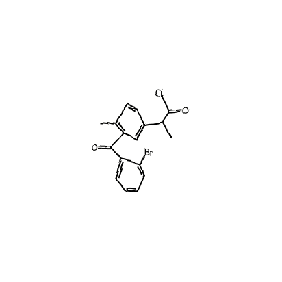 Cc1ccc(C(C)C(=O)Cl)cc1C(=O)c1ccccc1Br